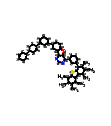 Bc1c(B)c(B)c2c(sc3c(-c4cccc(-c5ncnc6c5oc5ccc(-c7cccc(-c8ccc(-c9ccccc9)cc8)c7)cc56)c4)c(B)c(B)c(B)c32)c1B